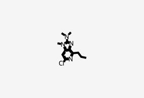 CCCc1nc(Cl)cc2c1nc(N(C)C)n2C